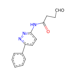 O=CCCC(=O)Nc1ccc(-c2ccccc2)nn1